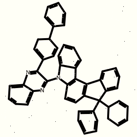 C1=CCC(C2(c3ccccc3)c3ccccc3-c3c2ccc2c3c3ccccc3n2-c2nc3ccccc3nc2C2=CCC(c3ccccc3)C=C2)C=C1